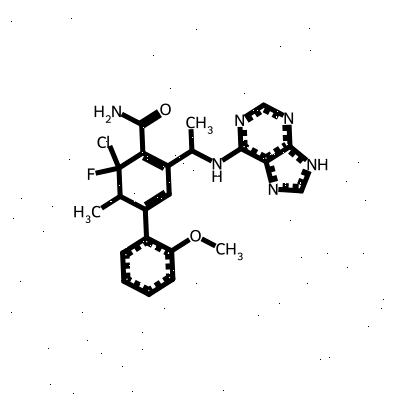 COc1ccccc1C1=CC(C(C)Nc2ncnc3[nH]cnc23)=C(C(N)=O)C(F)(Cl)C1C